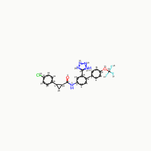 O=C(Nc1ccc(-c2ccc(OC(F)(F)F)cc2)c(-c2nnn[nH]2)c1)C1CC1c1ccc(Cl)cc1